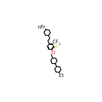 CCCC1CCC(CCc2ccc(OCC3CCC(C4CCC(CC)CC4)CC3)c(F)c2C(F)(F)F)CC1